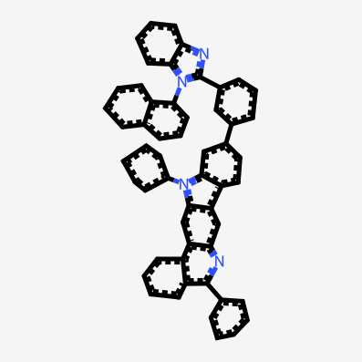 c1ccc(-c2nc3cc4c5ccc(-c6cccc(-c7nc8ccccc8n7-c7cccc8ccccc78)c6)cc5n(-c5ccccc5)c4cc3c3ccccc23)cc1